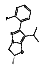 CC(C)c1c(-c2ccccc2F)nn2c1O[C@H](C)C2